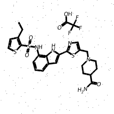 CCc1ccsc1S(=O)(=O)Nc1cccc2cc(-c3ncc(CN4CCC(C(N)=O)CC4)s3)[nH]c12.O=C(O)C(F)(F)F